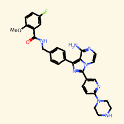 COc1ccc(F)cc1C(=O)NCc1ccc(-c2nc(-c3ccc(N4CCNCC4)nc3)n3ccnc(N)c23)cc1